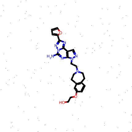 Nc1nc2c(cnn2CCN2CCc3ccc(OCCO)cc3CC2)c2nc(-c3ccco3)nn12